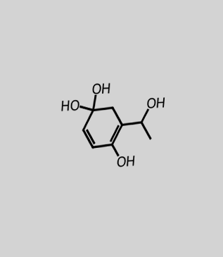 CC(O)C1=C(O)C=CC(O)(O)C1